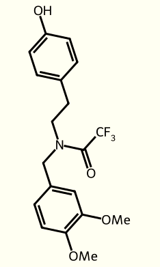 COc1ccc(CN(CCc2ccc(O)cc2)C(=O)C(F)(F)F)cc1OC